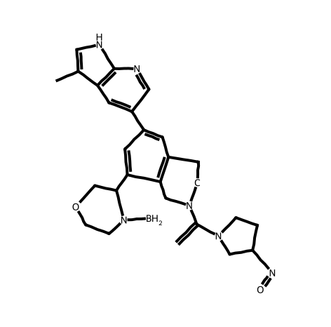 BN1CCOCC1c1cc(-c2cnc3[nH]cc(C)c3c2)cc2c1CN(C(=C)N1CCC(N=O)C1)CC2